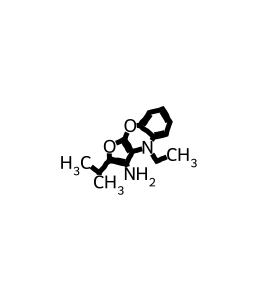 CCN1c2ccccc2Oc2oc(C(C)C)c(N)c21